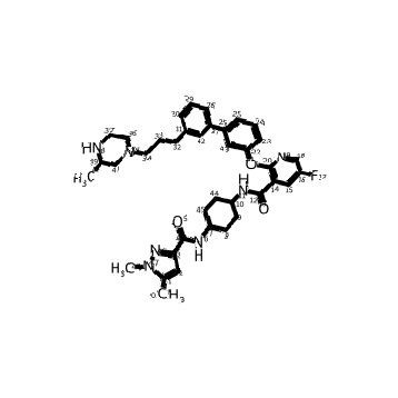 Cc1cc(C(=O)NC2CCC(NC(=O)c3cc(F)cnc3Oc3cccc(-c4cccc(CCCN5CCNC(C)C5)c4)c3)CC2)nn1C